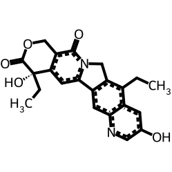 CCc1c2c(cc3ncc(O)cc13)-c1cc3c(c(=O)n1C2)COC(=O)[C@]3(O)CC